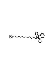 O=C1c2ccccc2C(=O)N1CCCCCCCCCCCCBr